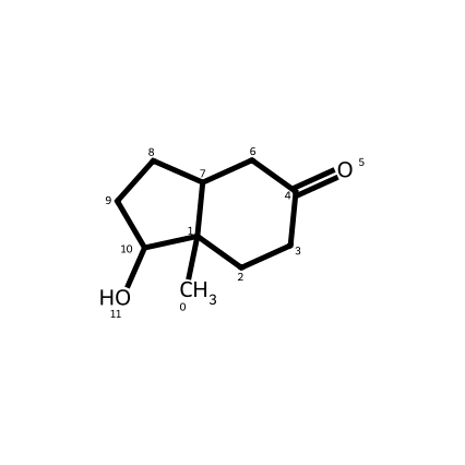 CC12CCC(=O)CC1CCC2O